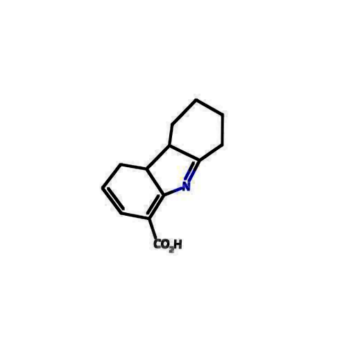 O=C(O)C1=C2N=C3CCCCC3C2CC=C1